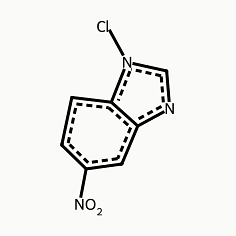 O=[N+]([O-])c1ccc2c(c1)ncn2Cl